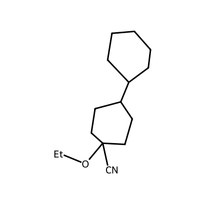 CCOC1(C#N)CCC(C2CCCCC2)CC1